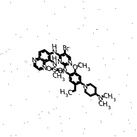 CCc1cc(Nc2ncc(Br)c(Nc3ccc4nccnc4c3NS(C)(=O)=O)n2)c(OC)cc1N1CCC(N(C)C)CC1